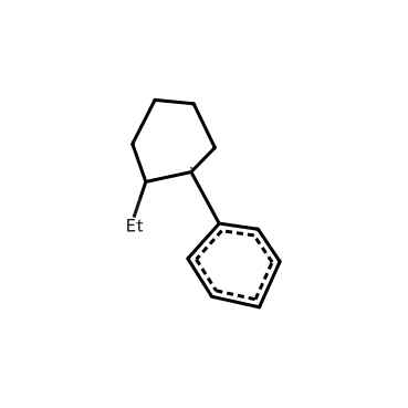 CCC1CCCC[C]1c1ccccc1